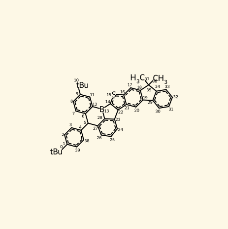 CC(C)(C)c1ccc(C2c3ccc(C(C)(C)C)cc3B3c4sc5cc6c(cc5c4-c4cccc2c43)-c2ccccc2C6(C)C)cc1